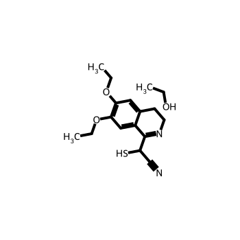 CCO.CCOc1cc2c(cc1OCC)C(C(S)C#N)=NCC2